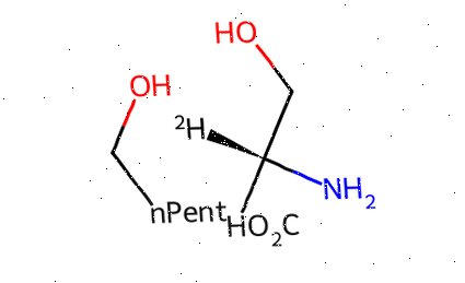 CCCCCCO.[2H][C@](N)(CO)C(=O)O